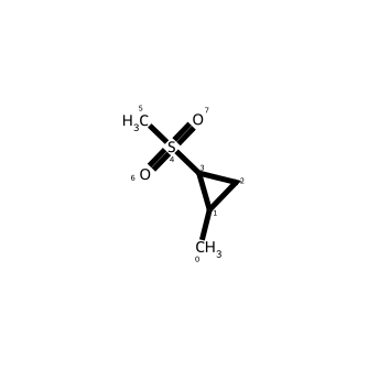 CC1CC1S(C)(=O)=O